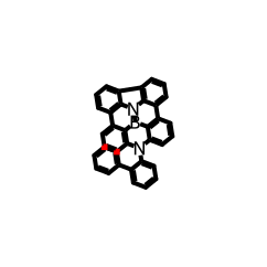 c1ccc(-c2ccccc2N2c3cccc4c3B3c5c(cccc52)-c2cccc5c6cccc-4c6n3c25)cc1